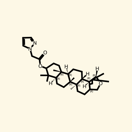 CC1(C)CC[C@]23CC[C@]4(C)[C@H](CC[C@@H]5[C@@]6(C)CCC(OC(=O)Cn7cccn7)C(C)(C)[C@@H]6CC[C@]54C)[C@H]2[C@H]1OC3